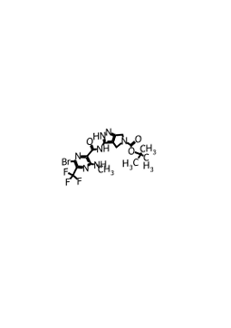 CNc1nc(C(F)(F)F)c(Br)nc1C(=O)Nc1[nH]nc2c1CN(C(=O)OC(C)(C)C)C2